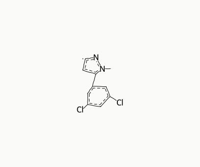 Cn1n[c]cc1-c1cc(Cl)cc(Cl)c1